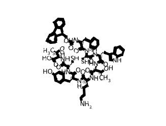 C[C@@H](O)[C@H](NC(=O)[C@H](CS)NC(=O)[C@H](Cc1ccc(O)cc1)NC(=O)[C@H](CCCCN)NC(=O)[C@@H](NC(=O)[C@@H](Cc1c[nH]c2ccccc12)NC(=O)[C@H](CS)NC(=O)[C@H](Cc1ccccc1)NC(=O)OCC1c2ccccc2-c2ccccc21)[C@@H](C)O)C(=O)O